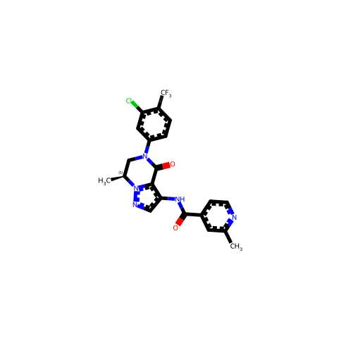 Cc1cc(C(=O)Nc2cnn3c2C(=O)N(c2ccc(C(F)(F)F)c(Cl)c2)C[C@@H]3C)ccn1